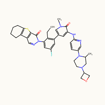 CC(=O)OCc1c(-c2cc(Nc3ccc(N4CCN(C5COC5)CC4C)cn3)c(=O)n(C)c2)cc(F)cc1-n1ncc2c3c(sc2c1=O)CCCC3